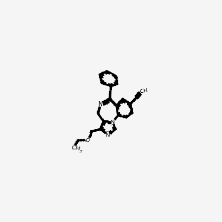 C#Cc1ccc2c(c1)C(c1ccccc1)=NCc1c(COCC)ncn1-2